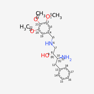 COc1cc(CNC[C@@H](O)[C@@H](N)Cc2ccccc2)cc(OC)c1OC